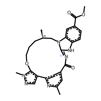 COC(=O)c1ccc2c(c1)N1C[C@H](C)CCCOc3c(cnn3C)-c3cc(cc(C)n3)C(=O)/N=C/1N2